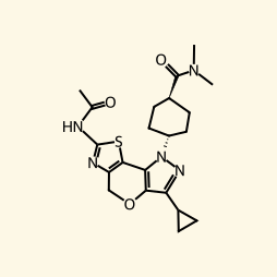 CC(=O)Nc1nc2c(s1)-c1c(c(C3CC3)nn1[C@H]1CC[C@H](C(=O)N(C)C)CC1)OC2